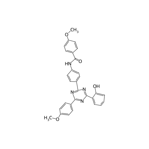 COc1ccc(C(=O)Nc2ccc(-c3nc(-c4ccc(OC)cc4)nc(-c4ccccc4O)n3)cc2)cc1